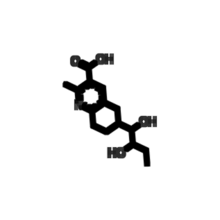 CCC(O)C(O)C1CCc2nc(C)c(C(=O)O)cc2C1